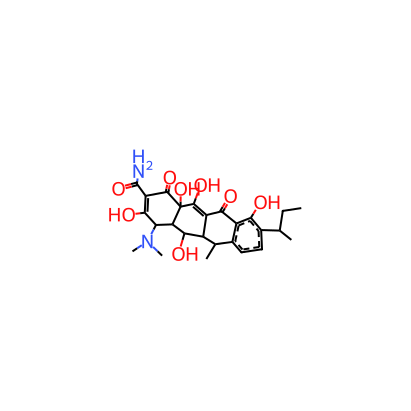 CCC(C)c1ccc2c(c1O)C(=O)C1=C(O)C3(O)C(=O)C(C(N)=O)=C(O)C(N(C)C)C3C(O)C1C2C